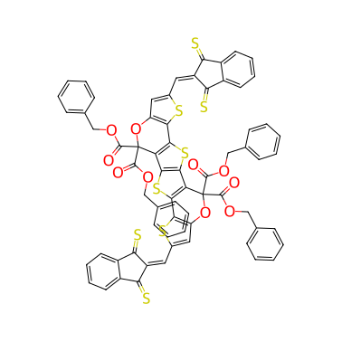 O=C(OCc1ccccc1)C1(C(=O)OCc2ccccc2)Oc2cc(C=C3C(=S)c4ccccc4C3=S)sc2-c2sc3c4c(sc3c21)-c1sc(C=C2C(=S)c3ccccc3C2=S)cc1OC4(C(=O)OCc1ccccc1)C(=O)OCc1ccccc1